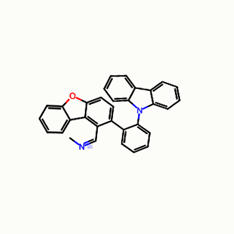 C/N=C\c1c(-c2ccccc2-n2c3ccccc3c3ccccc32)ccc2oc3ccccc3c12